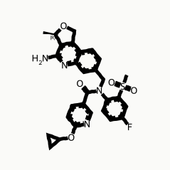 C[C@H]1OCc2c1c(N)nc1cc(CN(C(=O)c3ccc(OC4CC4)nc3)c3ccc(F)cc3S(C)(=O)=O)ccc21